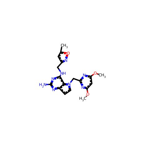 COc1cc(OC)nc(Cn2ccc3nc(N)nc(NCc4cc(C)on4)c32)n1